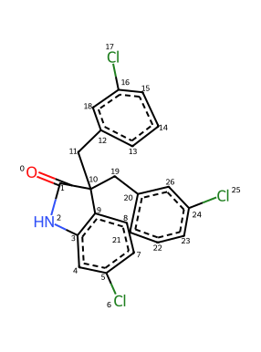 O=C1Nc2cc(Cl)ccc2C1(Cc1cccc(Cl)c1)Cc1cccc(Cl)c1